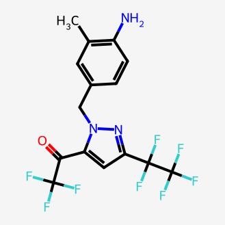 Cc1cc(Cn2nc(C(F)(F)C(F)(F)F)cc2C(=O)C(F)(F)F)ccc1N